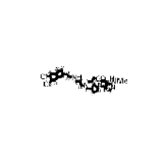 CNc1ncnc2c1ccn2C1CCC(CN(CCCNCCc2ccc3cc(Cl)c(Cl)cc3c2)CCCC(=O)O)C1